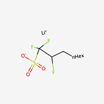 CCCCCCCC(F)C(F)(F)S(=O)(=O)[O-].[Li+]